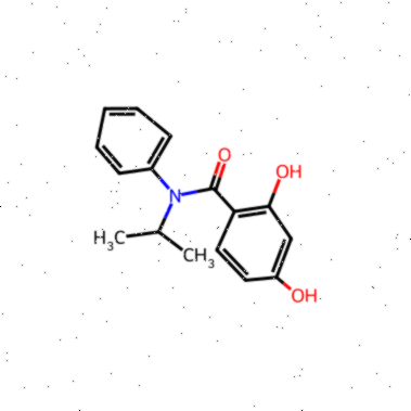 CC(C)N(C(=O)c1ccc(O)cc1O)c1ccccc1